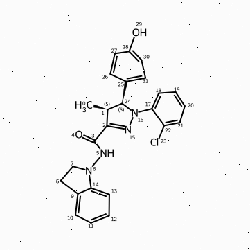 C[C@@H]1C(C(=O)NN2CCc3ccccc32)=NN(c2ccccc2Cl)[C@@H]1c1ccc(O)cc1